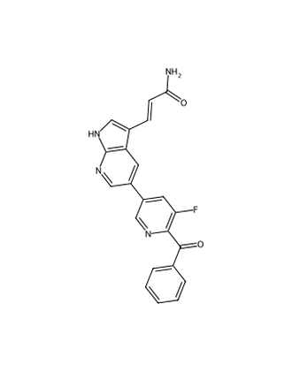 NC(=O)C=Cc1c[nH]c2ncc(-c3cnc(C(=O)c4ccccc4)c(F)c3)cc12